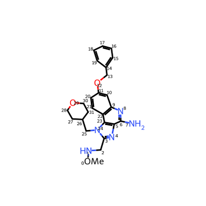 CONCc1nc2c(N)nc3cc(OCc4ccccc4)ccc3c2n1CC1CCOCC1